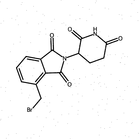 O=C1CCC(N2C(=O)c3cccc(CBr)c3C2=O)C(=O)N1